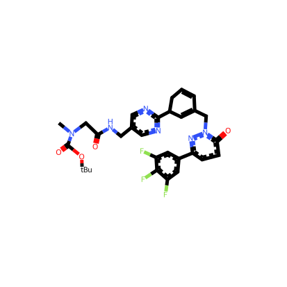 CN(CC(=O)NCc1cnc(C2C=C(Cn3nc(-c4cc(F)c(F)c(F)c4)ccc3=O)C=CC2)nc1)C(=O)OC(C)(C)C